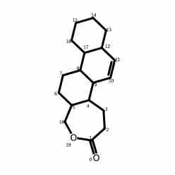 O=C1CCC2C(CCC3C2C=CC2CCCCC23)CO1